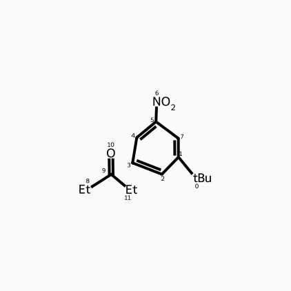 CC(C)(C)c1cccc([N+](=O)[O-])c1.CCC(=O)CC